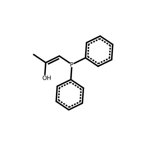 C/C(O)=C/P(c1ccccc1)c1ccccc1